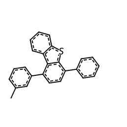 Cc1cccc(-c2ccc(-c3ccccc3)c3sc4ccccc4c23)c1